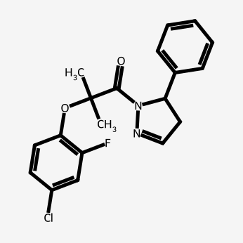 CC(C)(Oc1ccc(Cl)cc1F)C(=O)N1N=CCC1c1ccccc1